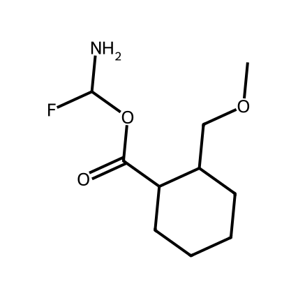 COCC1CCCCC1C(=O)OC(N)F